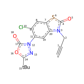 C#CCn1c(=O)sc2cc(Cl)c(-n3nc(C(C)(C)C)oc3=O)cc21